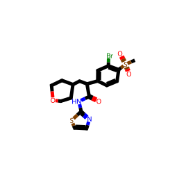 CS(=O)(=O)c1ccc(C(CC2CCOCC2)C(=O)Nc2nccs2)cc1Br